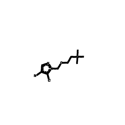 C[Si](C)(C)CCOCn1ncc(Br)c1Cl